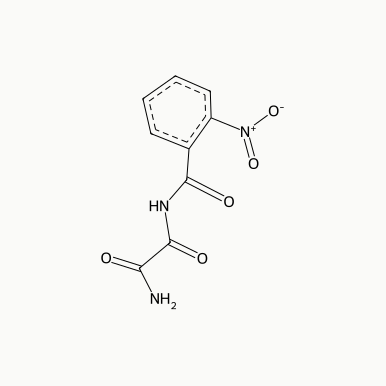 NC(=O)C(=O)NC(=O)c1ccccc1[N+](=O)[O-]